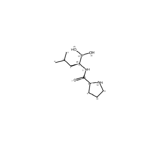 CC(C)C[C@H](NC(=O)C1CCCN1)B(O)O